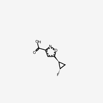 O=C(O)c1cc([C@H]2C[C@@H]2F)on1